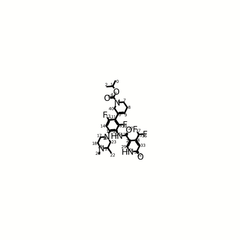 CC(C)OC(=O)N1CCC=C(c2c(F)cc(N3CCN(C)C(C)C3)c(NC(=O)c3c[nH]c(=O)cc3C(F)F)c2F)C1